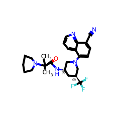 CC(C)(C(=O)N[C@@H]1C[C@H](C(F)(F)F)CN(c2ccc(C#N)c3ncccc23)C1)N1CCCCC1